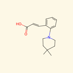 CC1(C)CCN(c2ccccc2/C=C/C(=O)O)CC1